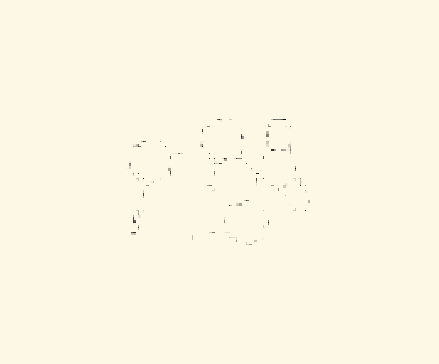 N#Cc1cccc(-c2cccc3c2Oc2c(Cl)cccc2C32c3ccccc3-c3ccccc32)c1